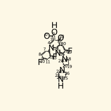 O=C(O)c1cn(-c2ccc(F)cc2F)c2nc(N3CCC(N4CCNCC4)C3)c(F)cc2c1=O